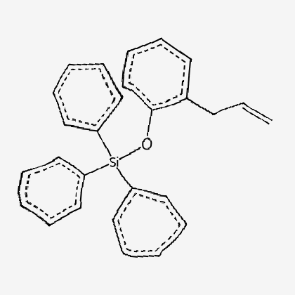 C=CCc1ccccc1O[Si](c1ccccc1)(c1ccccc1)c1ccccc1